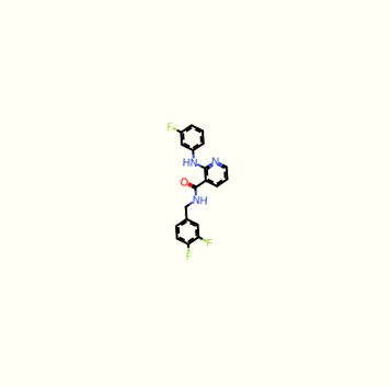 O=C(NCc1ccc(F)c(F)c1)c1cccnc1Nc1cccc(F)c1